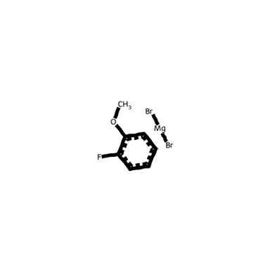 COc1c[c]ccc1F.[Br][Mg][Br]